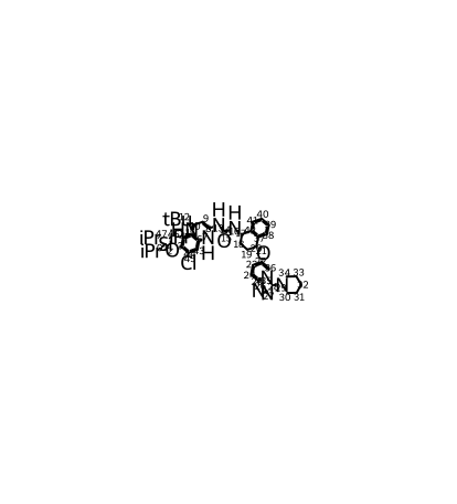 CC(C)[Si](Oc1ccc(N/C(=C\C(=N)C(C)(C)C)NC(=O)N[C@H]2CC[C@@H](Oc3ccc4nnc(N5CCCCC5)n4c3)c3ccccc32)cc1Cl)(C(C)C)C(C)C